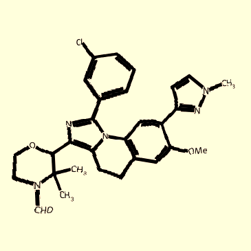 COc1cc2c(cc1-c1ccn(C)n1)-n1c(-c3cccc(Cl)c3)nc(C3OCCN(C=O)C3(C)C)c1CC2